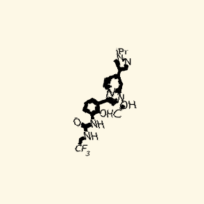 CC(C)n1cc(-c2ccn3c(-c4cccc(NC(=O)NCC(F)(F)F)c4)cnc3c2)cn1.O=CO